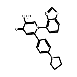 O=C(O)c1cn(-c2cccc3scnc23)c(-c2ccc(N3CCCC3)cc2)cc1=O